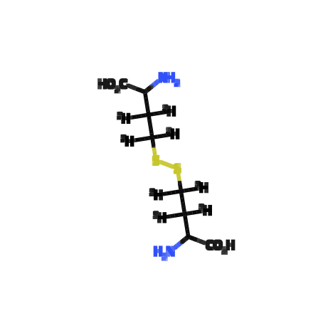 [2H]C([2H])(SSC([2H])([2H])C([2H])([2H])C(N)C(=O)O)C([2H])([2H])C(N)C(=O)O